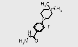 C[N+]1(C)CCN(c2ccc(C(=O)NN)cc2)CC1.[I-]